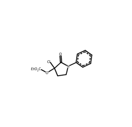 CCOC(=O)OC1(Cl)CCN(c2ccccc2)C1=O